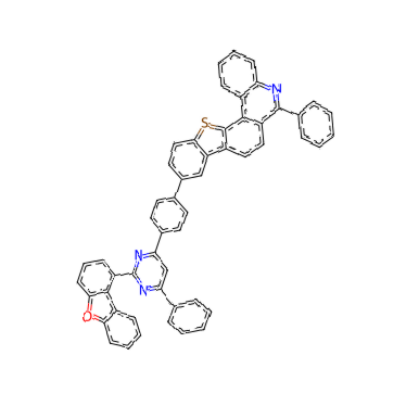 c1ccc(-c2cc(-c3ccc(-c4ccc5sc6c(ccc7c(-c8ccccc8)nc8ccccc8c76)c5c4)cc3)nc(-c3cccc4oc5ccccc5c34)n2)cc1